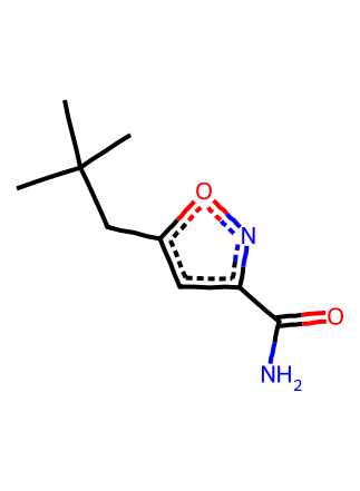 CC(C)(C)Cc1cc(C(N)=O)no1